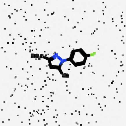 CCOC(=O)c1cc(C(C)(C)C)n(-c2ccc(F)cc2)n1